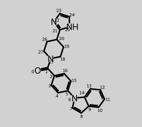 O=C(c1ccc(-n2ccc3ccccc32)cc1)N1CCC(c2ncc[nH]2)CC1